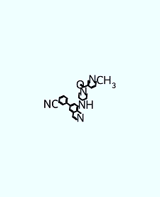 Cc1ccc(C(=O)N2CCC(Nc3cc(-c4cccc(C#N)c4)cc4ccncc34)CC2)cn1